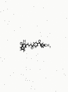 Cn1cc(C(=O)C2CCN(C(=O)CCCc3cn4c(F)ccc4c(=O)[nH]3)CC2)cn1